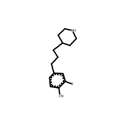 N#Cc1ccc(CCCC2CCNCC2)cc1F